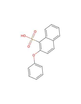 O=S(=O)(O)c1c(Oc2ccccc2)ccc2ccccc12